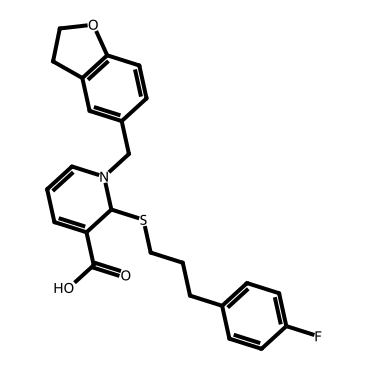 O=C(O)C1=CC=CN(Cc2ccc3c(c2)CCO3)C1SCCCc1ccc(F)cc1